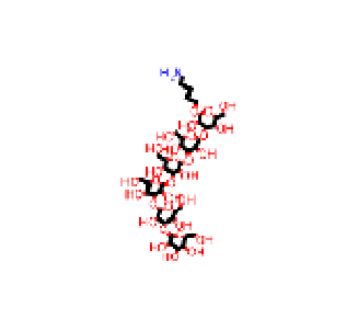 NCCCCCOC1OC(CO)C(O)C(OC2OC(CO)C(O)C(OC3OC(CO)C(O)C(OC4OC(CO)C(O)C(OC5OC(CO)C(O)C(OC6OC(CO)C(O)C(O)C6O)C5O)C4O)C3O)C2O)C1O